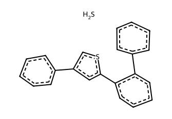 S.c1ccc(-c2csc(-c3ccccc3-c3ccccc3)c2)cc1